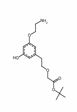 CC(C)(C)OC(=O)COCCc1cc(O)cc(OCCN)c1